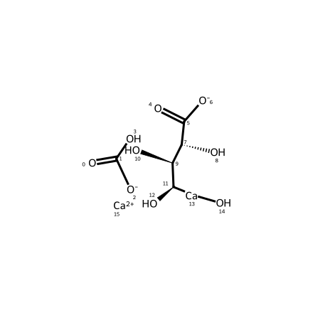 O=C([O-])O.O=C([O-])[C@H](O)[C@H](O)[C@H](O)[Ca][OH].[Ca+2]